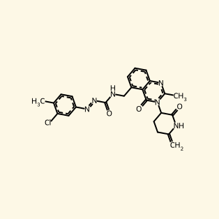 C=C1CCC(n2c(C)nc3cccc(CNC(=O)N=Nc4ccc(C)c(Cl)c4)c3c2=O)C(=O)N1